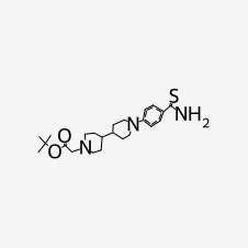 CC(C)(C)OC(=O)CN1CCC(C2CCN(c3ccc(C(N)=S)cc3)CC2)CC1